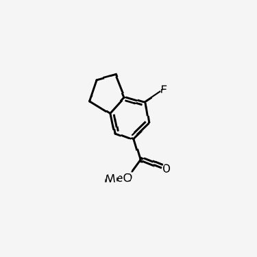 COC(=O)c1cc(F)c2c(c1)CCC2